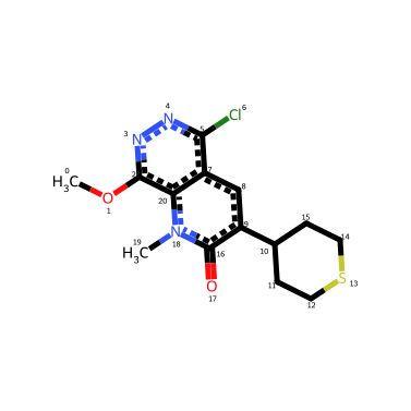 COc1nnc(Cl)c2cc(C3CCSCC3)c(=O)n(C)c12